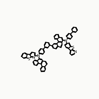 c1ccc(-c2ccc(N(c3ccc4c(c3)sc3ncccc34)c3cc4ccccc4c4c3ccc3ccc(-c5cccc(-c6ccc(N(c7ccc8c(n7)sc7ccccc78)c7cc8ccc9ccccc9c8c8ccccc78)cc6)c5)cc34)cc2)cc1